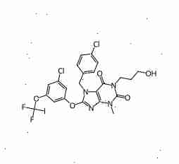 Cn1c(=O)n(CCCO)c(=O)c2c1nc(Oc1cc(Cl)cc(OC(F)(F)I)c1)n2Cc1ccc(Cl)cc1